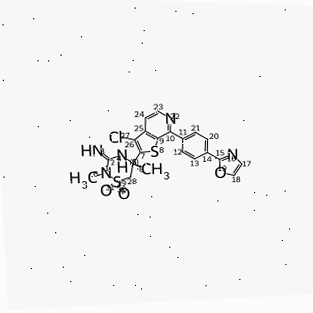 CN1C(=N)N[C@](C)(c2sc3c(-c4ccc(-c5ncco5)cc4)nccc3c2Cl)CS1(=O)=O